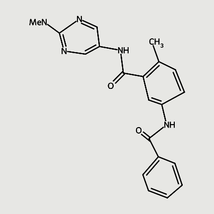 CNc1ncc(NC(=O)c2cc(NC(=O)c3ccccc3)ccc2C)cn1